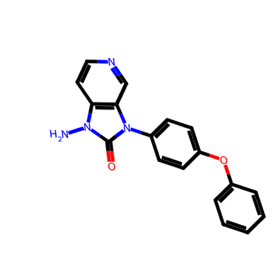 Nn1c(=O)n(-c2ccc(Oc3ccccc3)cc2)c2cnccc21